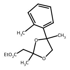 CCOC(=O)CC1(C)OCC(C)(c2ccccc2C)O1